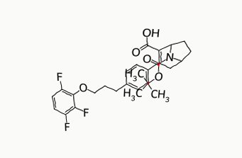 CC(C)(C)OC(=O)N1C2CCC1C(C(=O)O)=C(c1ccc(CCCOc3c(F)ccc(F)c3F)cc1)C2